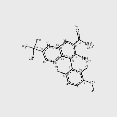 COc1ccc(C)c(-c2c(N)c(C(N)=O)cc3nc(C(F)(F)F)cnc23)c1C